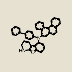 C1=Cc2c(oc3cccc(N(c4ccc(-c5ccccc5)cc4)c4cc5ccc6ccccc6c5c5ccccc45)c23)NC1